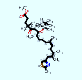 COC(=O)CCC(C)(C)C(=O)[C@H](C)[C@@H](O[Si](C)(C)C(C)(C)C)[C@@H](C)CCC/C(C)=C\C[C@H](C)/C(C)=C/c1csc(C)n1